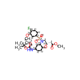 COC(=O)C[C@H]1CN(S(=O)(=O)c2ccc(F)c(OC)c2)c2cc(NC(=O)OC(C)(C)C)ccc2O1